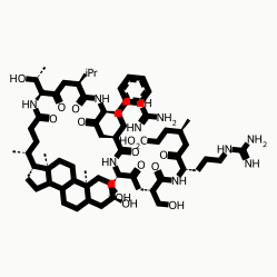 CC(C)[C@H](CC(=O)[C@@H](NC(=O)CC[C@@H](C)[C@H]1CCC2C3CCC4C[C@H](O)CC[C@]4(C)C3CC[C@@]21C)[C@@H](C)O)C(=O)N[C@@H](Cc1ccccc1)C(=O)C[C@@H](CCCNC(=N)N)C(=O)N[C@@H](CO)C(=O)C[C@@H](CO)C(=O)N[C@@H](CCCNC(=N)N)C(=O)C[C@H](C)CCC(=O)O